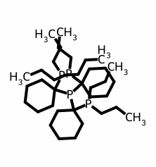 CCCP(CCC)C1(P(C2(P(CCC)CCC)CCCCC2)C2(P(CCC)CCC)CCCCC2)CCCCC1